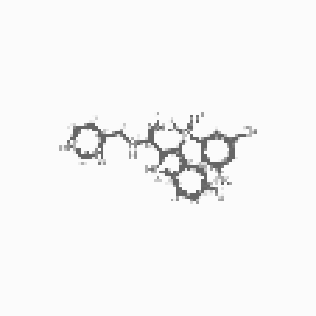 [C-]#[N+]c1cc(Cl)cc(P(=O)(OC)c2c(C(=O)NCc3ccncn3)[nH]c3ccc(Cl)cc23)c1